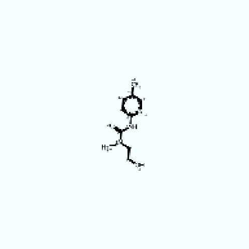 CN(CCO)C(=O)Nc1ccc(C(F)(F)F)cn1